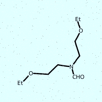 CCOCCN(C=O)CCOCC